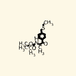 CCSCc1ccc(C(=O)[C@H](C)NC(=O)OC(C)(C)C)cc1